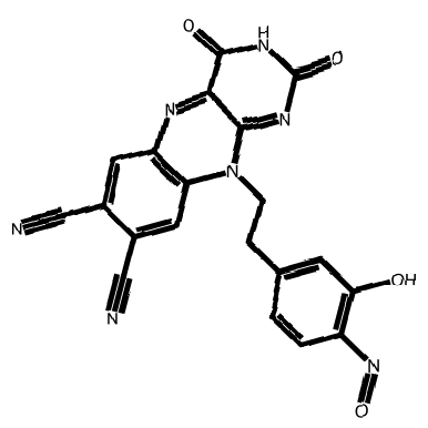 N#Cc1cc2nc3c(=O)[nH]c(=O)nc-3n(CCc3ccc(N=O)c(O)c3)c2cc1C#N